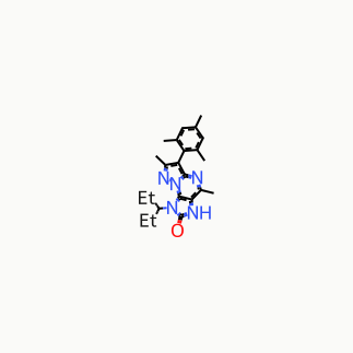 CCC(CC)n1c(=O)[nH]c2c(C)nc3c(-c4c(C)cc(C)cc4C)c(C)nn3c21